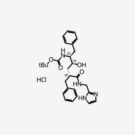 CC(C)(C)OC(=O)N[C@@H](Cc1ccccc1)[C@@H](O)C[C@@H](Cc1ccccc1)C(=O)NCc1ncc[nH]1.Cl